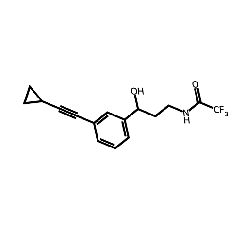 O=C(NCCC(O)c1cccc(C#CC2CC2)c1)C(F)(F)F